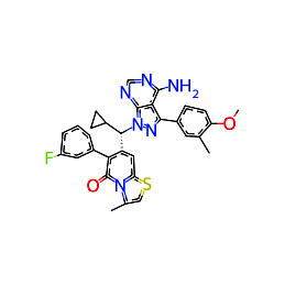 COc1ccc(-c2nn([C@H](c3cc4scc(C)n4c(=O)c3-c3cccc(F)c3)C3CC3)c3ncnc(N)c23)cc1C